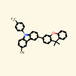 CC1(C)c2ccccc2Oc2cc(-c3ccc4c(c3)c3cc(C#N)ccc3n4-c3ccc(C(F)(F)F)cc3)ccc21